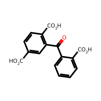 O=C(O)c1ccc(C(=O)O)c(C(=O)c2ccccc2C(=O)O)c1